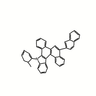 CC1CC=CC=C1n1c2ccccc2c2c3c4ccccc4c(-c4ccc5ccccc5c4)cc3c3ccccc3c21